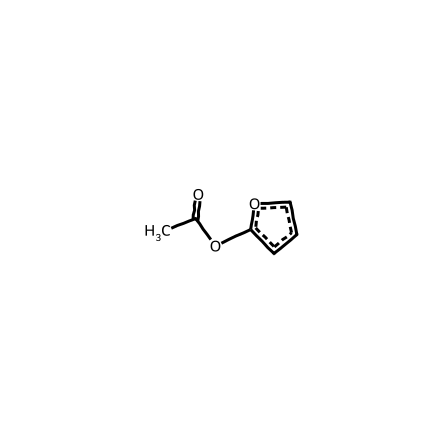 CC(=O)Oc1ccco1